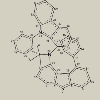 CC1(C)c2ccc3sc4cccc(-c5ccccc5)c4c3c2N1c1cccc2c3ccccc3n(-c3ccccc3)c12